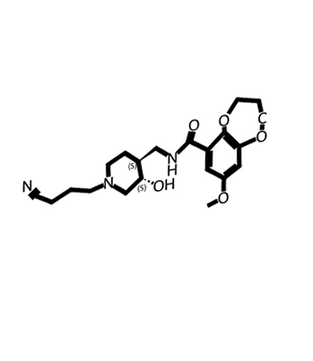 COc1cc2c(c(C(=O)NC[C@@H]3CCN(CCCC#N)C[C@H]3O)c1)OCCCO2